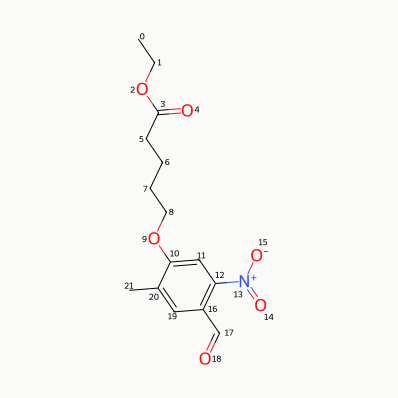 CCOC(=O)CCCCOc1cc([N+](=O)[O-])c(C=O)cc1C